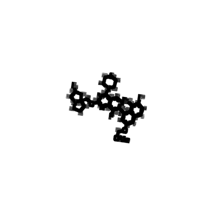 CCc1c(F)ccc2cc(OCOC)cc(-c3ncc4c(N5CCSCC5)nc(OC[C@@]56CCCN5CC(F)C6)nc4c3F)c12